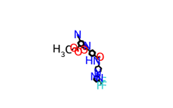 CCOC(=O)c1cc(C#N)cc2nc(-c3ccc(C(=O)NCC4CCN(c5nccc(C(F)(F)F)n5)CC4)cc3)oc12